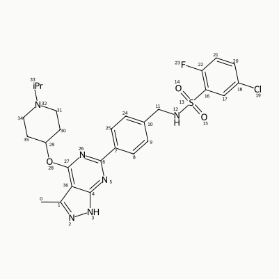 Cc1n[nH]c2nc(-c3ccc(CNS(=O)(=O)c4cc(Cl)ccc4F)cc3)nc(OC3CCN(C(C)C)CC3)c12